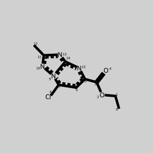 CCOC(=O)c1cc(Cl)n2nc(C)nc2n1